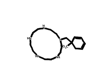 O=C(O)C1(CN2CCNCCNCCNCCNCC2)C=CC=CC1